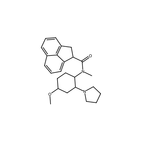 COC1CCC(N(C)C(=O)C2Cc3cccc4cccc2c34)C(N2CCCC2)C1